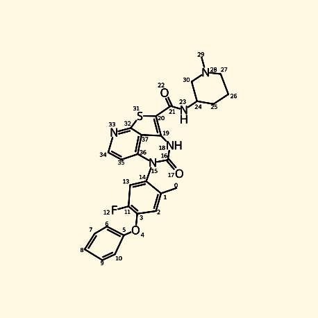 Cc1cc(Oc2ccccc2)c(F)cc1N1C(=O)Nc2c(C(=O)NC3CCCN(C)C3)sc3nccc1c23